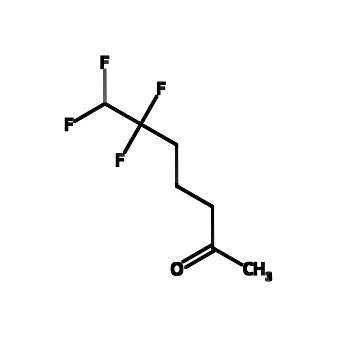 CC(=O)CCCC(F)(F)C(F)F